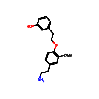 COc1cc(CCN)ccc1OCCc1cccc(O)c1